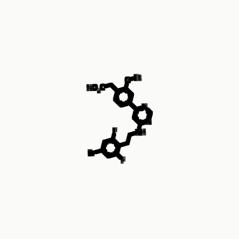 CCOc1cc(-c2cc(NCCc3c(F)cc(Br)cc3F)ncn2)ccc1CC(=O)O